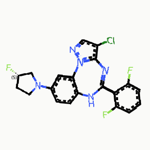 Fc1cccc(F)c1C1=Nc2c(Cl)cnn2-c2cc(N3CC[C@H](F)C3)ccc2N1